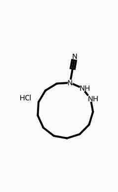 Cl.N#CN1CCCCCCCCCCNN1